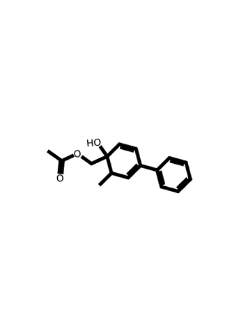 CC(=O)OCC1(O)C=CC(c2ccccc2)=CC1C